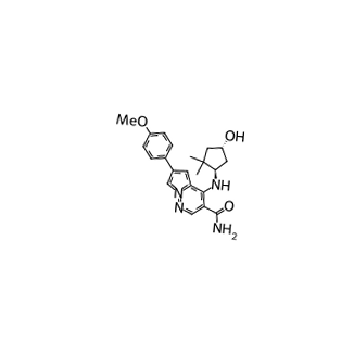 COc1ccc(-c2cc3c(N[C@@H]4C[C@@H](O)CC4(C)C)c(C(N)=O)cnn3c2)cc1